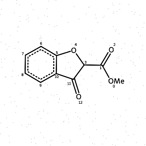 COC(=O)C1Oc2ccccc2C1=O